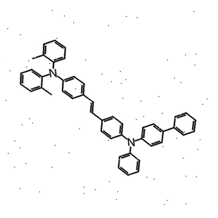 Cc1ccccc1N(c1ccc(/C=C/c2ccc(N(c3ccccc3)c3ccc(-c4ccccc4)cc3)cc2)cc1)c1ccccc1C